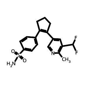 Cc1ncc(C2=C(c3ccc(S(N)(=O)=O)cc3)CCC2)cc1C(F)F